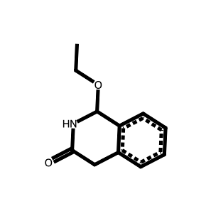 CCOC1NC(=O)Cc2ccccc21